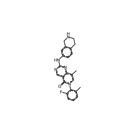 Cc1cccc(F)c1-n1cc(C)c2nc(Nc3ccc4c(c3)CNCC4)ncc2c1=O